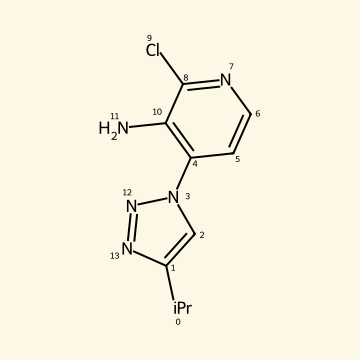 CC(C)c1cn(-c2ccnc(Cl)c2N)nn1